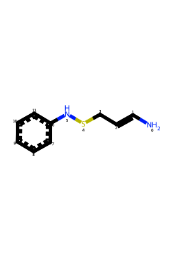 NC=CCSNc1ccccc1